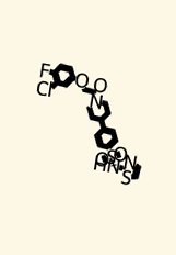 O=C(COc1ccc(F)c(Cl)c1)N1CCC(c2ccc(S(=O)(=O)Nc3nccs3)cc2)CC1